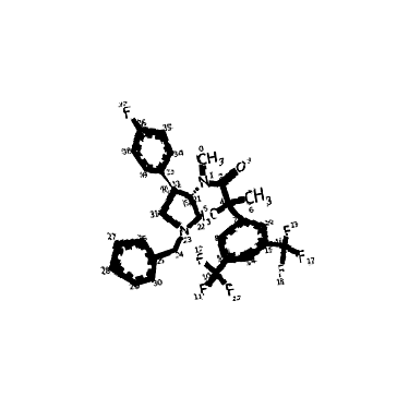 CN(C(=O)C(C)(C)c1cc(C(F)(F)F)cc(C(F)(F)F)c1)[C@@H]1CN(Cc2ccccc2)C[C@H]1c1ccc(F)cc1